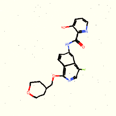 O=C(Nc1ccc2c(OCC3CCOCC3)ncc(F)c2c1)c1ncccc1O